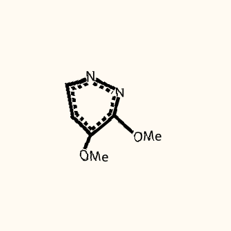 COc1ccnnc1OC